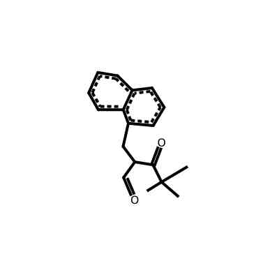 CC(C)(C)C(=O)C(C=O)Cc1cccc2ccccc12